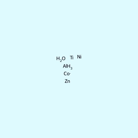 O.[AlH3].[Co].[Ni].[Ti].[Zn]